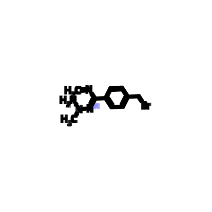 C=N/C(=N\N(C)N)c1ccc(CBr)cc1